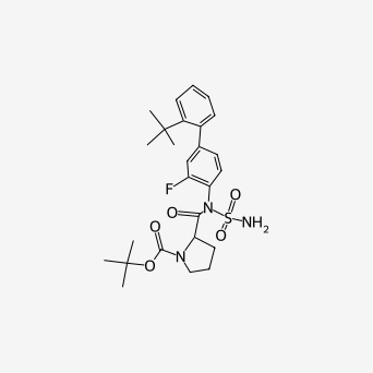 CC(C)(C)OC(=O)N1CCCC1C(=O)N(c1ccc(-c2ccccc2C(C)(C)C)cc1F)S(N)(=O)=O